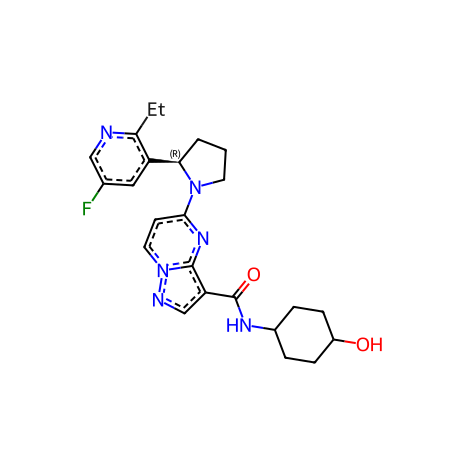 CCc1ncc(F)cc1[C@H]1CCCN1c1ccn2ncc(C(=O)NC3CCC(O)CC3)c2n1